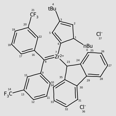 CCCCC1C=C(C(C)(C)C)C=[C]1[Zr+2](=[C](c1cccc(C(F)(F)F)c1)c1cccc(C(F)(F)F)c1)[CH]1c2ccccc2-c2ccccc21.[Cl-].[Cl-]